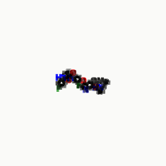 COc1cc2c(Oc3ccc(NC(=O)C4(C(=O)Nc5ccc(F)cc5)CC4)cc3F)ccnc2cc1OCC1(NCC2CC2)CC1